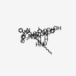 CCCCCCCC(=O)NCCCC[C@@H](NC(=O)[C@@H](N)Cc1cn(C(c2ccccc2)c2ccc(OC)cc2)cn1)C(=O)NC(CC(=O)N[C@@H](Cc1ccc(O)cc1)C(=O)O)c1ccc(C)cc1